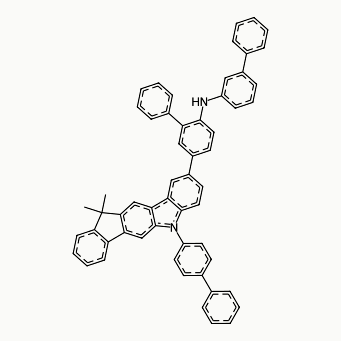 CC1(C)c2ccccc2-c2cc3c(cc21)c1cc(-c2ccc(Nc4cccc(-c5ccccc5)c4)c(-c4ccccc4)c2)ccc1n3-c1ccc(-c2ccccc2)cc1